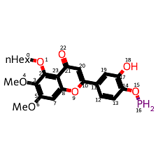 CCCCCCOc1c(OC)c(OC)cc2oc(-c3ccc(OP)c(O)c3)cc(=O)c12